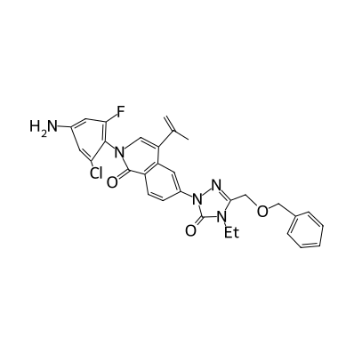 C=C(C)c1cn(-c2c(F)cc(N)cc2Cl)c(=O)c2ccc(-n3nc(COCc4ccccc4)n(CC)c3=O)cc12